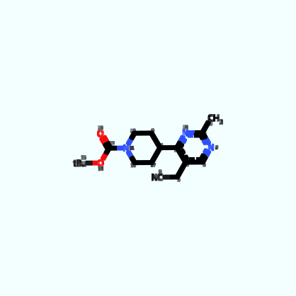 Cc1ncc(CC#N)c(C2CCN(C(=O)OC(C)(C)C)CC2)n1